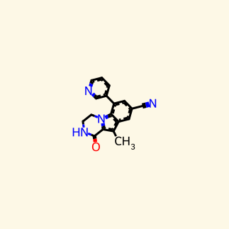 Cc1c2n(c3c(-c4cccnc4)cc(C#N)cc13)CCNC2=O